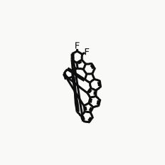 FC1C2=c3c4c5c6c7c8c9c(c%10ccc%11c%12ccc%13c(c3c3c%13c%12c(c%11c%108)c7c53)C1F)C=CC1C9C=6C3C1C=CC2C43